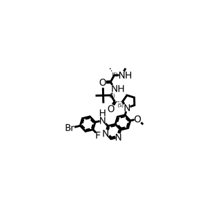 CN[C@@H](C)C(=O)N[C@H](C(=O)[C@@H]1CCCN1c1cc2c(Nc3ccc(Br)cc3F)ncnc2cc1OC)C(C)(C)C